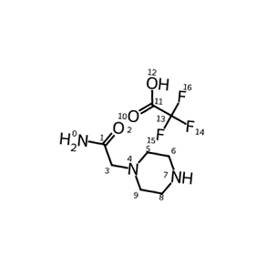 NC(=O)CN1CCNCC1.O=C(O)C(F)(F)F